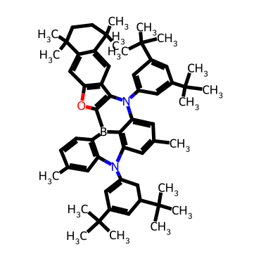 Cc1ccc2c(c1)N(C1=CC(C(C)(C)C)=CC(C(C)(C)C)C1)c1cc(C)cc3c1B2c1oc2cc4c(cc2c1N3c1cc(C(C)(C)C)cc(C(C)(C)C)c1)C(C)(C)CCC4(C)C